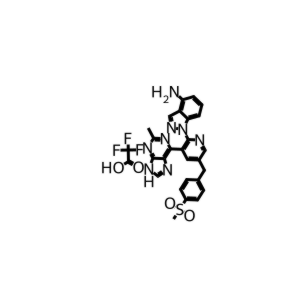 Cc1nc(-c2cc(Cc3ccc(S(C)(=O)=O)cc3)cnc2-n2ncc3c(N)cccc32)c2nc[nH]c2n1.O=C(O)C(F)(F)F